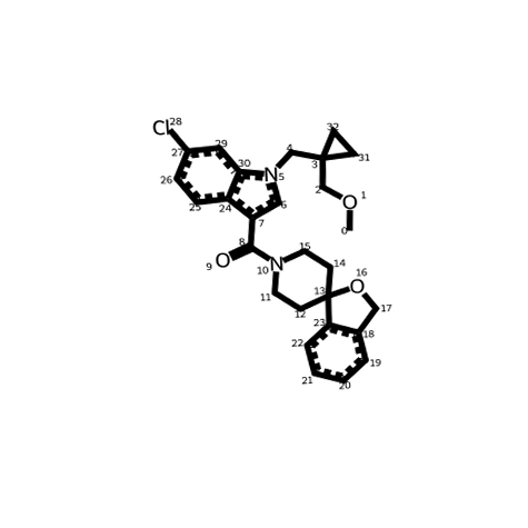 COCC1(Cn2cc(C(=O)N3CCC4(CC3)OCc3ccccc34)c3ccc(Cl)cc32)CC1